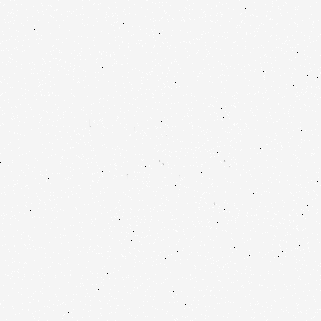 ClCC1CCN(c2cccnc2)CC1